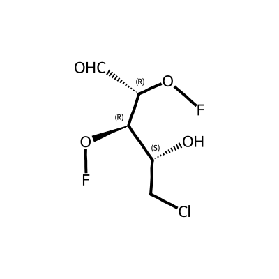 O=C[C@H](OF)[C@H](OF)[C@H](O)CCl